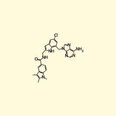 Cc1c(C)n(C)c2ccc(C(=O)NCc3cc4cc(Cl)cc(Cn5cnc6c(N)ncnc65)c4[nH]3)cc12